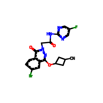 N#CC1CC(Oc2nn(CC(=O)Nc3ncc(F)cn3)c(=O)c3ccc(Br)cc23)C1